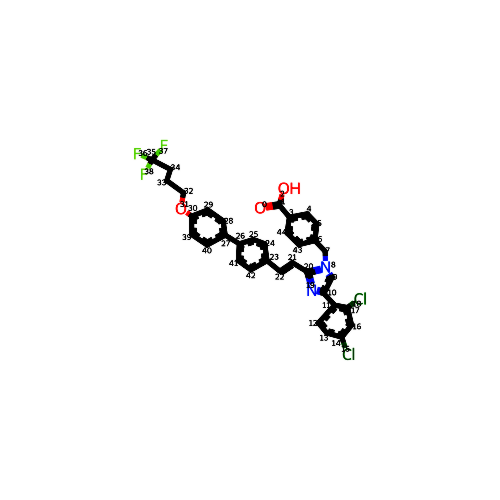 O=C(O)c1ccc(Cn2cc(-c3ccc(Cl)cc3Cl)nc2C=Cc2ccc(-c3ccc(OCCCC(F)(F)F)cc3)cc2)cc1